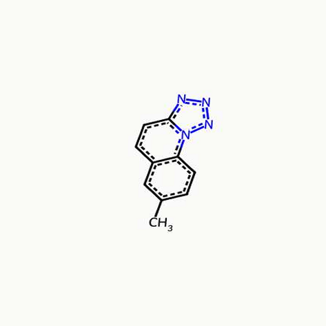 Cc1ccc2c(ccc3nnnn32)c1